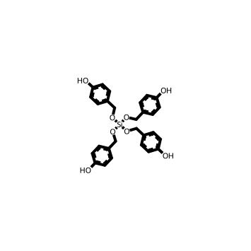 Oc1ccc(CO[Si](OCc2ccc(O)cc2)(OCc2ccc(O)cc2)OCc2ccc(O)cc2)cc1